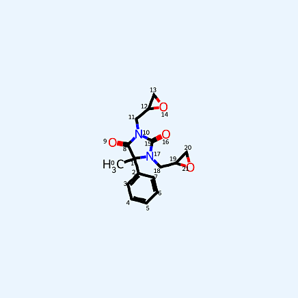 CC1(c2ccccc2)C(=O)N(CC2CO2)C(=O)N1CC1CO1